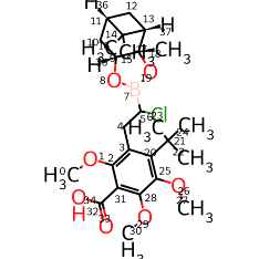 COc1c(CC(Cl)B2O[C@@H]3C[C@@H]4C[C@@H](C4(C)C)[C@]3(C)O2)c(C(C)(C)C)c(OC)c(OC)c1C(=O)O